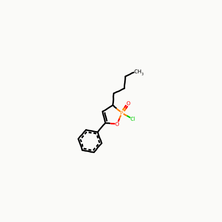 CCCCC1C=C(c2ccccc2)OP1(=O)Cl